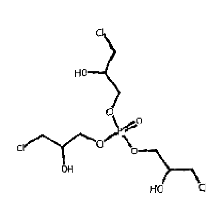 O=P(OCC(O)CCl)(OCC(O)CCl)OCC(O)CCl